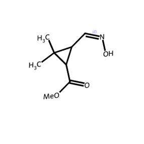 COC(=O)C1C(/C=N\O)C1(C)C